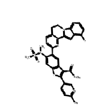 CNC(=O)c1c(-c2ccc(C(C)C)nc2)oc2cc(N(C)S(C)(=O)=O)c(-c3ccc4c(n3)-c3cc5c(F)cccc5n3CC4)cc12